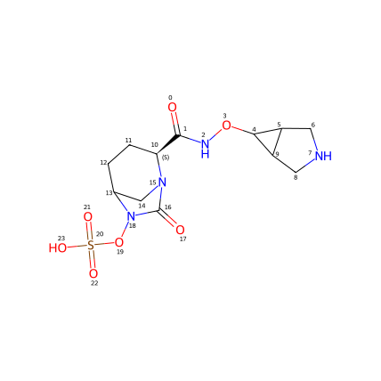 O=C(NOC1C2CNCC21)[C@@H]1CCC2CN1C(=O)N2OS(=O)(=O)O